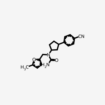 Cc1ccc(CN(C(N)=O)C2CCC(c3ccc(C#N)cc3)C2)o1